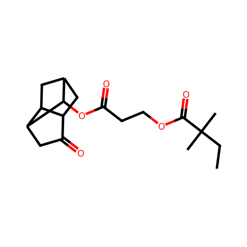 CCC(C)(C)C(=O)OCCC(=O)OC1C2CC3C(=O)CC1C3C2